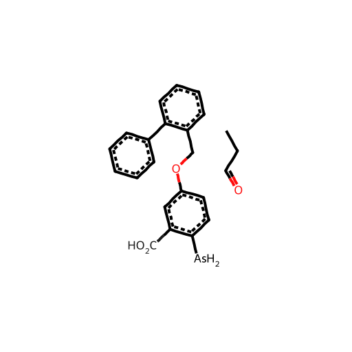 CCC=O.O=C(O)c1cc(OCc2ccccc2-c2ccccc2)ccc1[AsH2]